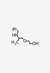 CC(C)CNC(C)COCCO